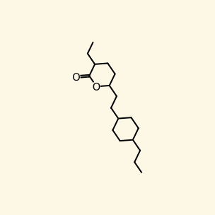 CCCC1CCC(CCC2CCC(CC)C(=O)O2)CC1